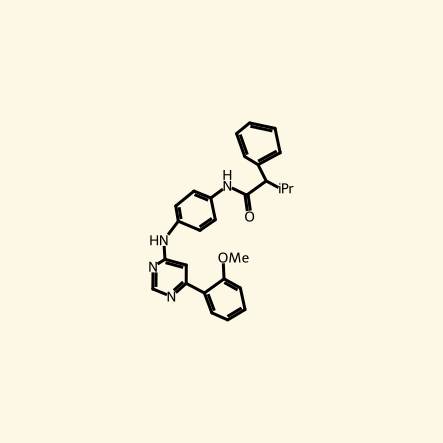 COc1ccccc1-c1cc(Nc2ccc(NC(=O)C(c3ccccc3)C(C)C)cc2)ncn1